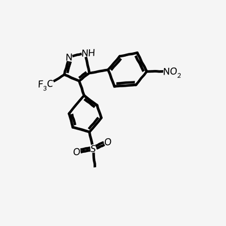 CS(=O)(=O)c1ccc(-c2c(C(F)(F)F)n[nH]c2-c2ccc([N+](=O)[O-])cc2)cc1